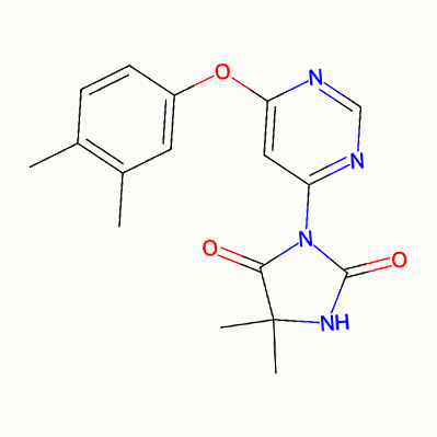 Cc1ccc(Oc2cc(N3C(=O)NC(C)(C)C3=O)ncn2)cc1C